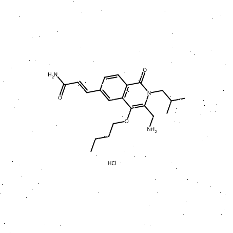 CCCCOc1c(CN)n(CC(C)C)c(=O)c2ccc(/C=C/C(N)=O)cc12.Cl